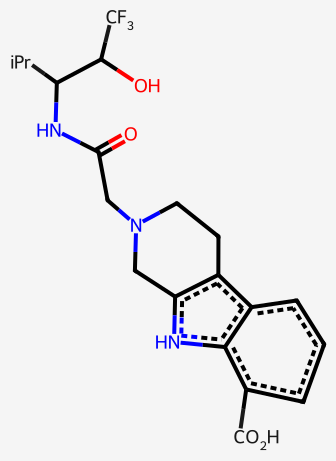 CC(C)C(NC(=O)CN1CCc2c([nH]c3c(C(=O)O)cccc23)C1)C(O)C(F)(F)F